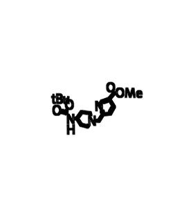 COC(=O)c1ccc(CN2CCC(NC(=O)OC(C)(C)C)CC2)nc1